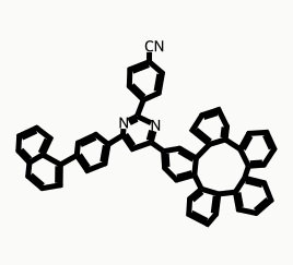 N#Cc1ccc(-c2nc(-c3ccc(-c4cccc5ccccc45)cc3)cc(-c3ccc4c5ccccc5c5ccccc5c5ccccc5c5ccccc5c4c3)n2)cc1